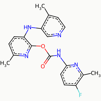 Cc1ccc(Nc2cnccc2C)c(OC(=O)Nc2ccc(F)c(C)n2)n1